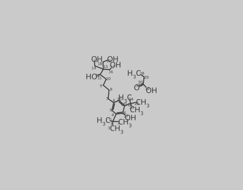 CC(C)(C)c1cc(CCCCC(O)C(CO)(CO)CO)cc(C(C)(C)C)c1O.CCC(=O)O